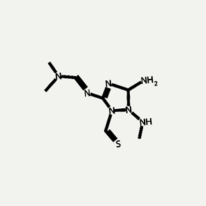 CNN1C(N)N=C(N=CN(C)C)N1C=S